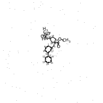 COC(=O)[C@@]1(Cc2cccc(-c3ccccc3)c2)CC[C@H](NS(C)(=O)=O)C1